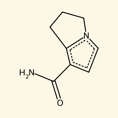 NC(=O)c1ccn2c1CCC2